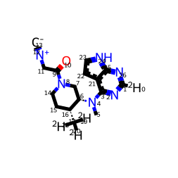 [2H]c1nc(N(C)[C@H]2CN(C(=O)C[N+]#[C-])CC[C@H]2C([2H])([2H])[2H])c2cc[nH]c2n1